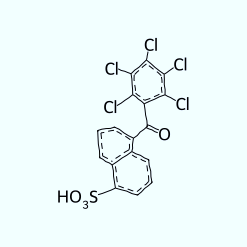 O=C(c1c(Cl)c(Cl)c(Cl)c(Cl)c1Cl)c1cccc2c(S(=O)(=O)O)cccc12